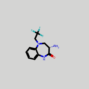 N[C@H]1CN(CC(F)(F)F)c2ccccc2NC1=O